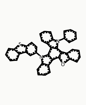 c1ccc(-n2c3ccccc3c3c4c(c5ccccc5n4-c4ccc5sc6ccccc6c5c4)c4oc5ccccc5c4c32)cc1